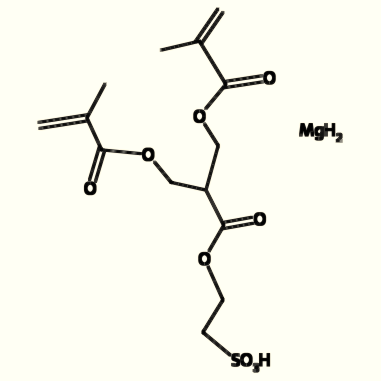 C=C(C)C(=O)OCC(COC(=O)C(=C)C)C(=O)OCCS(=O)(=O)O.[MgH2]